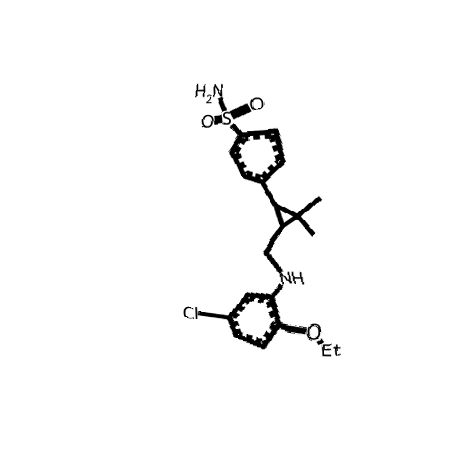 CCOc1ccc(Cl)cc1NCC1C(c2ccc(S(N)(=O)=O)cc2)C1(C)C